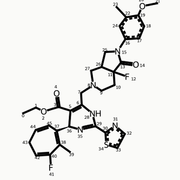 CCOC(=O)C1=C(CN2CCC3(F)C(=O)N(c4ccc(OC)c(C)c4)CC3C2)NC(c2nccs2)=N[C@H]1C1=C(C)C(F)=CCC=C1